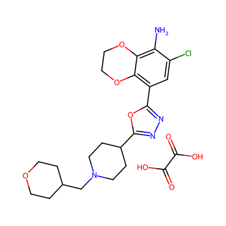 Nc1c(Cl)cc(-c2nnc(C3CCN(CC4CCOCC4)CC3)o2)c2c1OCCO2.O=C(O)C(=O)O